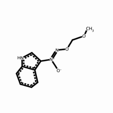 COCO/N=[N+](\[O-])c1c[nH]c2ccccc12